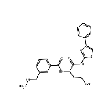 CSCCC(NC(=O)c1cccc(CNC(=O)O)c1)C(=O)Nc1nc(-c2ccccc2)cs1